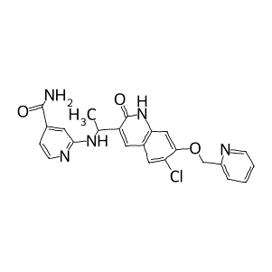 CC(Nc1cc(C(N)=O)ccn1)c1cc2cc(Cl)c(OCc3ccccn3)cc2[nH]c1=O